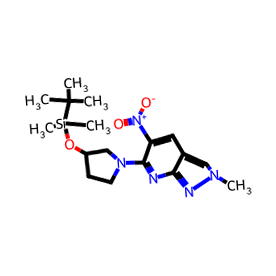 Cn1cc2cc([N+](=O)[O-])c(N3CCC(O[Si](C)(C)C(C)(C)C)C3)nc2n1